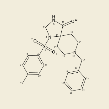 Cc1ccc(S(=O)(=O)N2CNC(=O)C23CCN(Cc2ccccc2)CC3)cc1